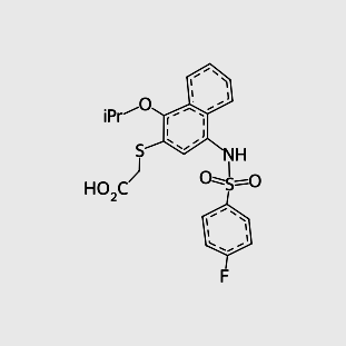 CC(C)Oc1c(SCC(=O)O)cc(NS(=O)(=O)c2ccc(F)cc2)c2ccccc12